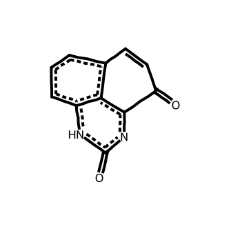 O=C1C=Cc2cccc3[nH]c(=O)nc1c23